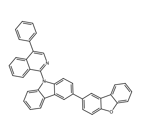 c1ccc(-c2cnc(-n3c4ccccc4c4cc(-c5ccc6oc7ccccc7c6c5)ccc43)c3ccccc23)cc1